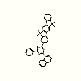 CC1(C)c2ccccc2-c2cc3c(cc21)-c1ccc(-c2nc(-c4ccccc4)nc(-c4cccc5ccccc45)n2)cc1C3(C)C